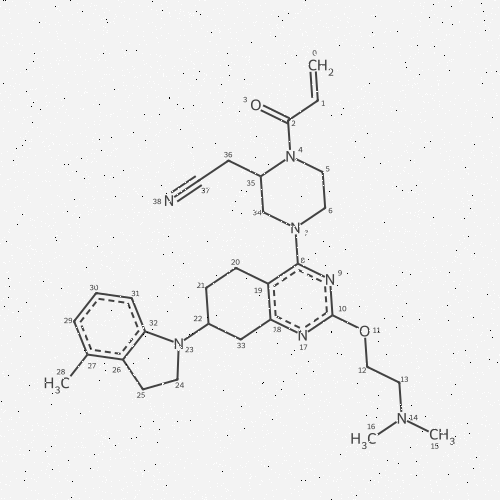 C=CC(=O)N1CCN(c2nc(OCCN(C)C)nc3c2CCC(N2CCc4c(C)cccc42)C3)CC1CC#N